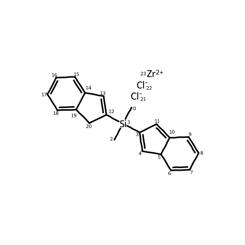 C[Si](C)(C1=CC2C=CC=CC2=C1)C1=Cc2ccccc2C1.[Cl-].[Cl-].[Zr+2]